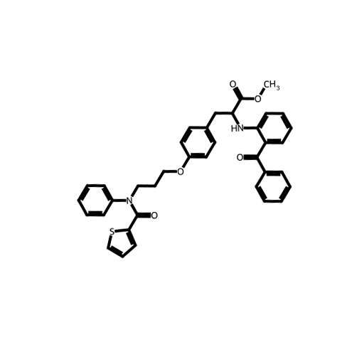 COC(=O)C(Cc1ccc(OCCCN(C(=O)c2cccs2)c2ccccc2)cc1)Nc1ccccc1C(=O)c1ccccc1